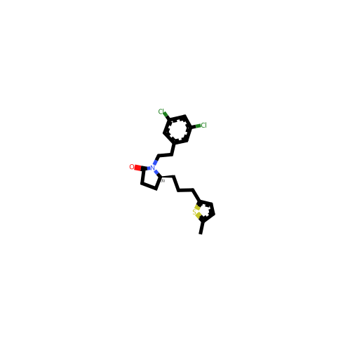 Cc1ccc(CCC[C@H]2CCC(=O)N2CCc2cc(Cl)cc(Cl)c2)s1